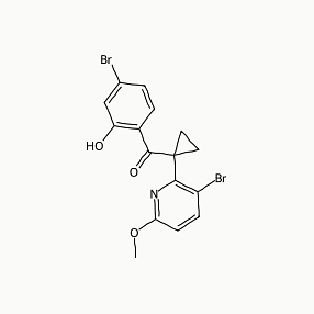 COc1ccc(Br)c(C2(C(=O)c3ccc(Br)cc3O)CC2)n1